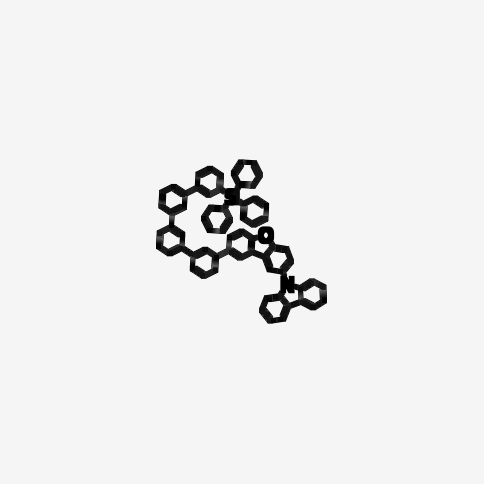 c1ccc([Si](c2ccccc2)(c2ccccc2)c2cccc(-c3cccc(-c4cccc(-c5cccc(-c6ccc7oc8ccc(-n9c%10ccccc%10c%10ccccc%109)cc8c7c6)c5)c4)c3)c2)cc1